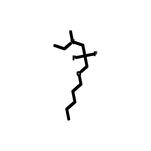 CCCCCOCC(F)(F)CN(C)CC